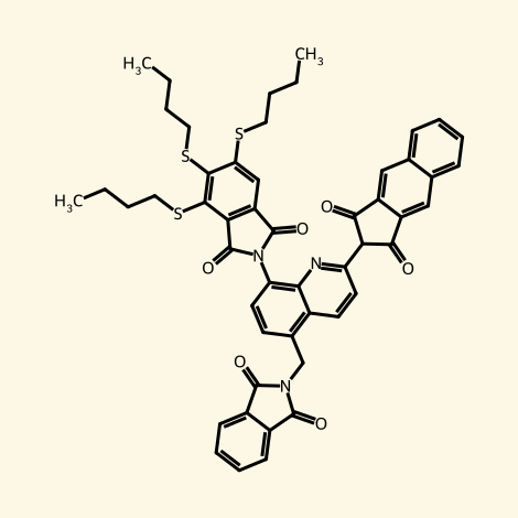 CCCCSc1cc2c(c(SCCCC)c1SCCCC)C(=O)N(c1ccc(CN3C(=O)c4ccccc4C3=O)c3ccc(C4C(=O)c5cc6ccccc6cc5C4=O)nc13)C2=O